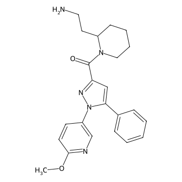 COc1ccc(-n2nc(C(=O)N3CCCCC3CCN)cc2-c2ccccc2)cn1